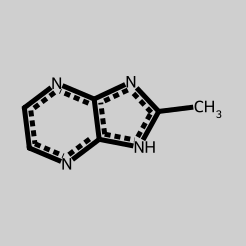 Cc1nc2nccnc2[nH]1